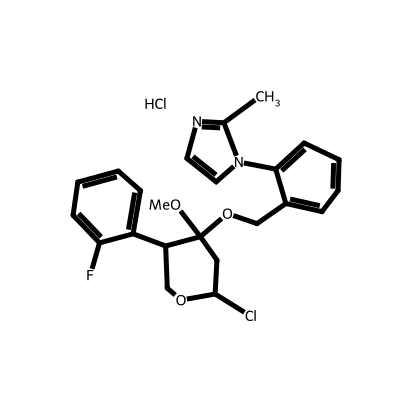 COC1(OCc2ccccc2-n2ccnc2C)CC(Cl)OCC1c1ccccc1F.Cl